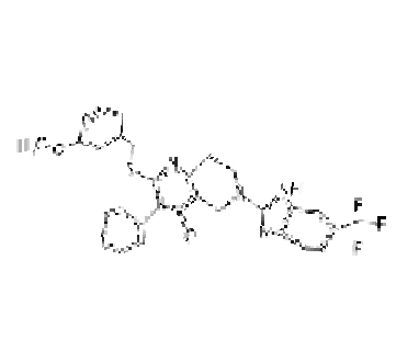 COc1cccc(CSc2nc3c(c(=O)n2-c2ccccc2)CN(c2nc4ccc(C(F)(F)F)cc4[nH]2)CC3)c1